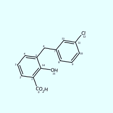 O=C(O)c1cccc(Cc2cccc(Cl)c2)c1O